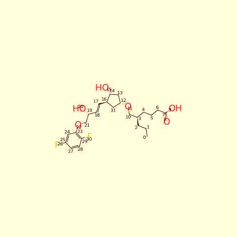 CCC[C@H](CCCC(=O)O)CO[C@H]1C[C@@H](O)[C@H](/C=C/[C@@H](O)COc2cc(F)ccc2F)C1